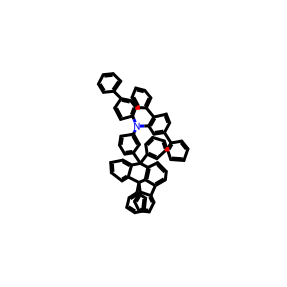 c1ccc(-c2ccc(N(c3cccc(C4(c5ccccc5)c5ccccc5C5(c6ccccc6)c6ccccc6-c6cccc4c65)c3)c3cc(-c4ccccc4)ccc3-c3ccccc3)cc2)cc1